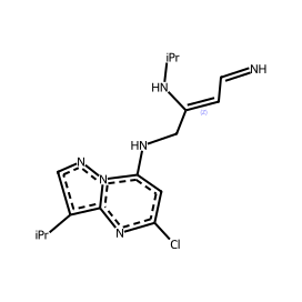 CC(C)N/C(=C\C=N)CNc1cc(Cl)nc2c(C(C)C)cnn12